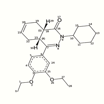 CCOc1ccc(C2=NN(C3CCCCC3)C(=O)[C@H]3CC=CC[C@@H]23)cc1OCC